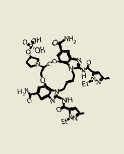 CCn1nc(C)cc1C(=O)Nc1nc2cc(C(N)=O)cc3c2n1C/C=C/Cn1c(NC(=O)c2cc(C)nn2CC)nc2cc(C(N)=O)cc(c21)OCC(N1CC[C@H](OP(=O)(O)O)C1)CO3